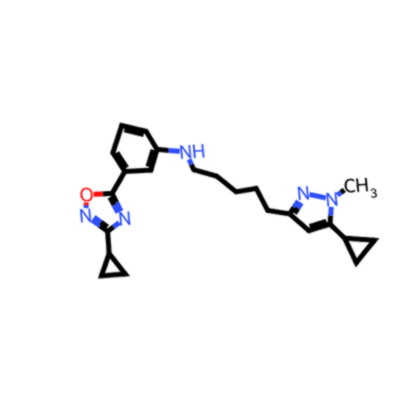 Cn1nc(CCCCCNc2cccc(-c3nc(C4CC4)no3)c2)cc1C1CC1